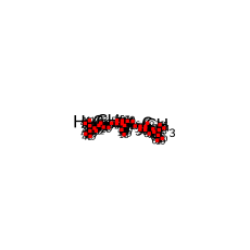 CC1(C)c2cc(/C=C/c3ccc4c(c3)N(c3ccccc3)c3cc(/C=C/c5ccc6c(c5)C(C)(C)c5cc(N(c7ccccc7)c7ccccc7)ccc5-6)ccc3C4)ccc2-c2ccc(N(c3ccccc3)c3ccccc3)cc21